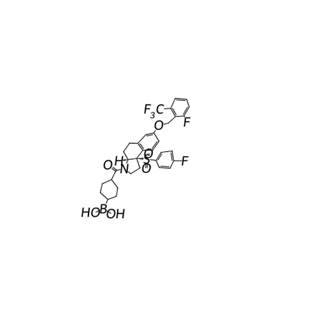 O=C(C1CCC(B(O)O)CC1)N1CC[C@@]2(S(=O)(=O)c3ccc(F)cc3)c3ccc(OCc4c(F)cccc4C(F)(F)F)cc3CC[C@@H]12